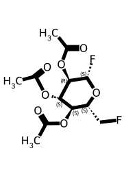 CC(=O)O[C@@H]1[C@@H](OC(C)=O)[C@H](F)O[C@H](CF)[C@H]1OC(C)=O